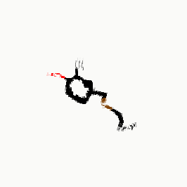 CCCCCCCCSCc1ccc(O)c(C)c1